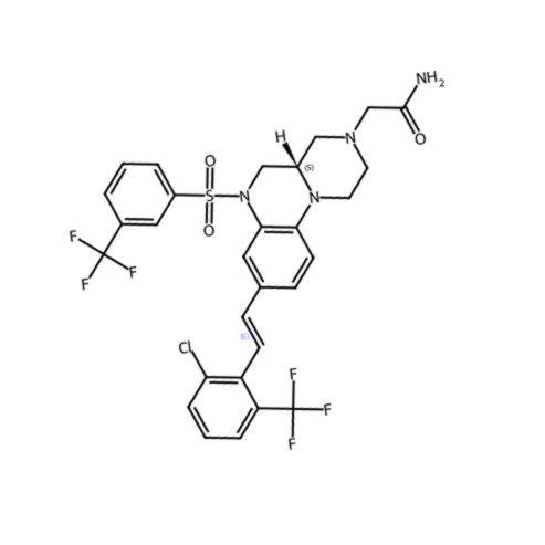 NC(=O)CN1CCN2c3ccc(/C=C/c4c(Cl)cccc4C(F)(F)F)cc3N(S(=O)(=O)c3cccc(C(F)(F)F)c3)C[C@@H]2C1